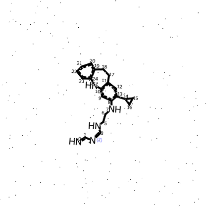 N=C/N=C\NCCNc1cc2c(cc1C1CC1)CCc1ccccc1N2